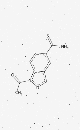 CC(=O)n1ncc2cc(C(N)=S)ccc21